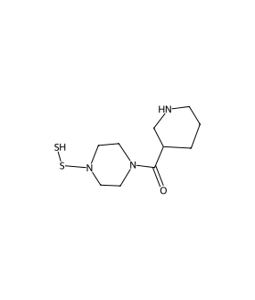 O=C(C1CCCNC1)N1CCN(SS)CC1